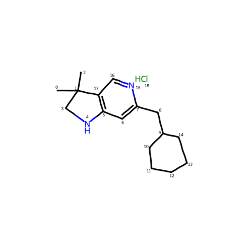 CC1(C)CNc2cc(CC3CCCCC3)ncc21.Cl